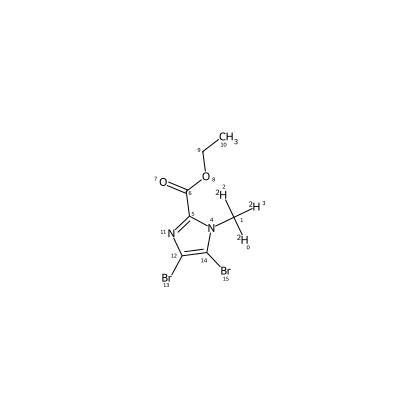 [2H]C([2H])([2H])n1c(C(=O)OCC)nc(Br)c1Br